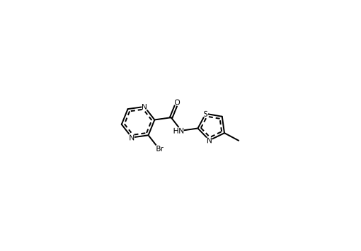 Cc1csc(NC(=O)c2nccnc2Br)n1